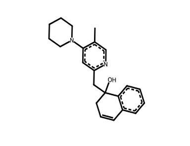 Cc1cnc(CC2(O)CC=Cc3ccccc32)cc1N1CCCCC1